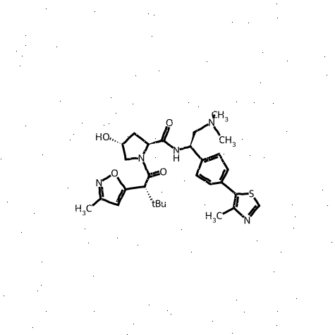 Cc1cc([C@H](C(=O)N2C[C@H](O)C[C@H]2C(=O)N[C@@H](CN(C)C)c2ccc(-c3scnc3C)cc2)C(C)(C)C)on1